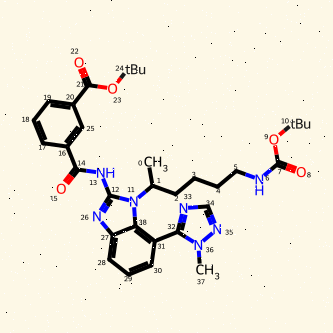 CC(CCCCNC(=O)OC(C)(C)C)n1c(NC(=O)c2cccc(C(=O)OC(C)(C)C)c2)nc2cccc(-c3ncnn3C)c21